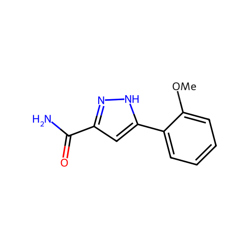 COc1ccccc1-c1cc(C(N)=O)n[nH]1